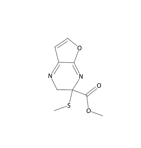 COC(=O)C1(SC)CN=c2ccoc2=N1